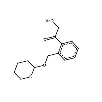 CC(=O)OCC(=O)c1ccccc1COC1CCCCO1